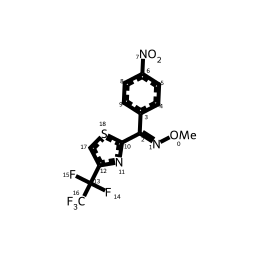 CO/N=C(\c1ccc([N+](=O)[O-])cc1)c1nc(C(F)(F)C(F)(F)F)cs1